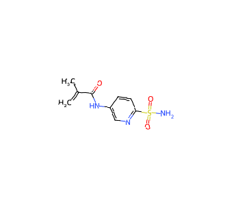 C=C(C)C(=O)Nc1ccc(S(N)(=O)=O)nc1